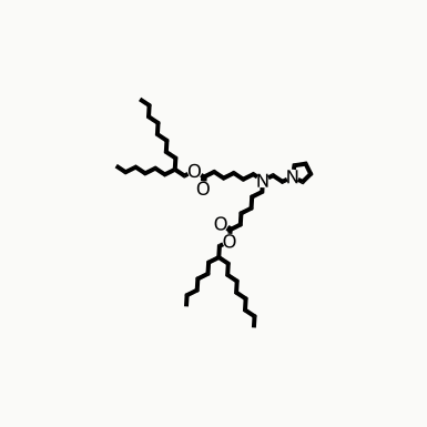 CCCCCCCCC(CCCCCC)COC(=O)CCCCCN(CCCCCC(=O)OCC(CCCCCC)CCCCCCCC)CCN1CCCC1